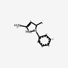 CC1C=C(N)NN1c1ccccc1